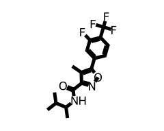 Cc1c(C(=O)NC(C)C(C)C)noc1-c1ccc(C(F)(F)F)c(F)c1